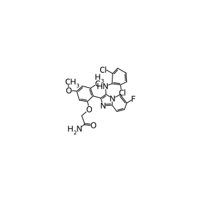 COc1cc(C)c(-c2nc3ccc(F)cn3c2Nc2c(Cl)cccc2Cl)c(OCC(N)=O)c1